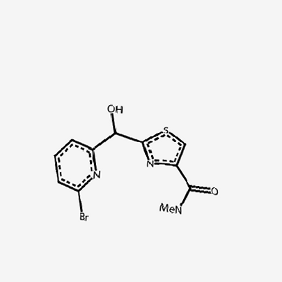 CNC(=O)c1csc(C(O)c2cccc(Br)n2)n1